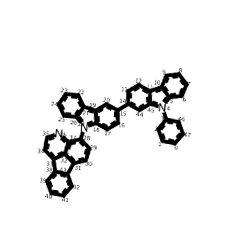 c1ccc(-n2c3ccccc3c3ccc(-c4ccc5c(c4)c4ccccc4n5-c4ccc5c6c(ccnc46)-c4ccccc4-5)cc32)cc1